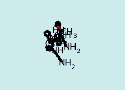 CN[C@@H](Cc1ccccc1)C(=O)N[C@@H](CCCCN)C(=O)N1CCC[C@H]1C(=O)C(Cc1ccccc1NCCCCCCN)C(=O)[C@H](N)CC1CCCCC1